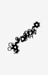 O=C(O)[C@H](Cc1cn(Cc2ccccc2)cn1)NC(=O)C1(F)CCN(C(=O)C=Cc2cc3ccsc3c(Cl)c2Cl)CC1